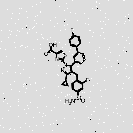 N[S+]([O-])c1ccc(Cc2c(C3CC3)nn(-c3nc(C(=O)O)cs3)c2-c2cccc(-c3ccc(F)cc3)c2)c(F)c1